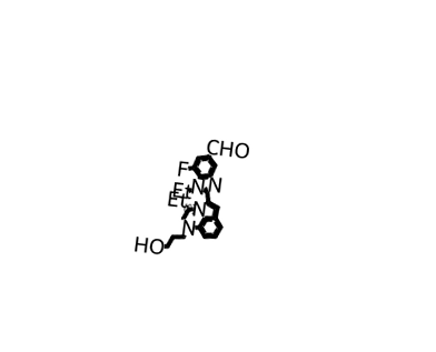 CC[C@H]1CN(CCCO)c2cccc3cc(-c4nc5cc(C=O)cc(F)c5n4CC)n1c23